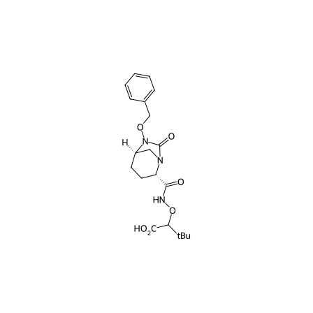 CC(C)(C)C(ONC(=O)[C@@H]1CC[C@@H]2CN1C(=O)N2OCc1ccccc1)C(=O)O